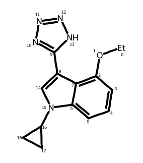 CCOc1c[c]cc2c1c(-c1nnn[nH]1)cn2C1CC1